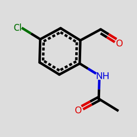 CC(=O)Nc1ccc(Cl)cc1C=O